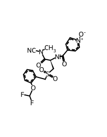 CN(C#N)C(=O)[C@H](CS(=O)(=O)Cc1ccccc1OC(F)F)NC(=O)c1cc[n+]([O-])cc1